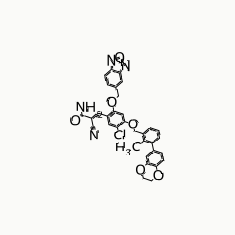 Cc1c(COc2cc(OCc3ccc4nonc4c3)c(/C=C(\C#N)C(N)=O)cc2Cl)cccc1-c1ccc2c(c1)OCCO2